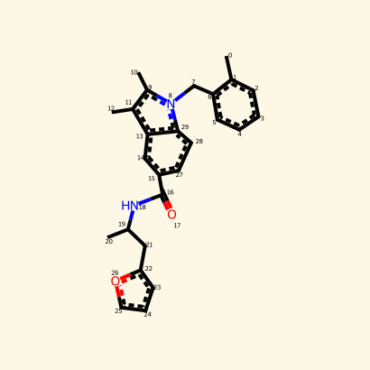 Cc1ccccc1Cn1c(C)c(C)c2cc(C(=O)NC(C)Cc3ccco3)ccc21